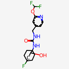 O=C(NCc1ccnc(OC(F)F)c1)NC12CCC(F)(CC1)CC2O